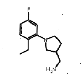 CCc1ccc(F)cc1N1CCC(CN)C1